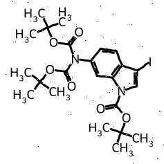 CC(C)(C)OC(=O)N(C(=O)OC(C)(C)C)c1ccc2c(I)cn(C(=O)OC(C)(C)C)c2c1